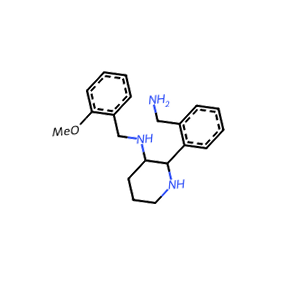 COc1ccccc1CNC1CCCNC1c1ccccc1CN